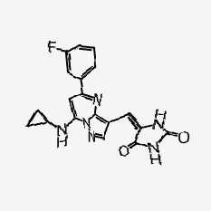 O=C1NC(=O)/C(=C\c2cnn3c(NC4CC4)cc(-c4cccc(F)c4)nc23)N1